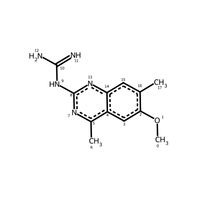 COc1cc2c(C)nc(NC(=N)N)nc2cc1C